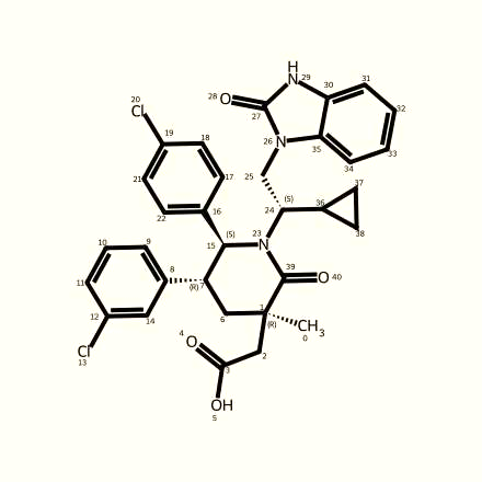 C[C@]1(CC(=O)O)C[C@H](c2cccc(Cl)c2)[C@@H](c2ccc(Cl)cc2)N([C@H](Cn2c(=O)[nH]c3ccccc32)C2CC2)C1=O